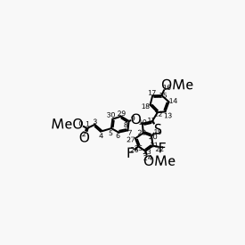 COC(=O)C=Cc1ccc(Oc2c(-c3ccc(OC)cc3)sc3c(F)c(OC)c(F)cc23)cc1